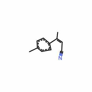 C/C(=C/C#N)c1ccc(C)cc1